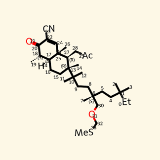 CCC(C)(C)CC[C@@](C)(CCC(C)(C)[C@]1(C)CC[C@H]2[C@H](C)C(=O)C(C#N)=C[C@]2(C)[C@H]1CC(C)=O)COCSC